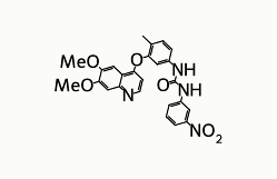 COc1cc2nccc(Oc3cc(NC(=O)Nc4cccc([N+](=O)[O-])c4)ccc3C)c2cc1OC